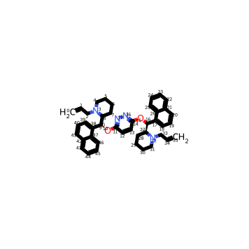 C=CCN1CCCCC1[C@H](Oc1ccc(OC(c2cccc3ccccc23)[C@@H]2CCCCN2CC=C)nn1)c1cccc2ccccc12